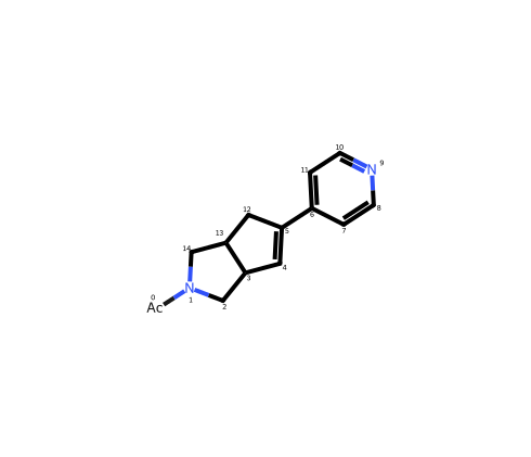 CC(=O)N1CC2C=C(c3ccncc3)CC2C1